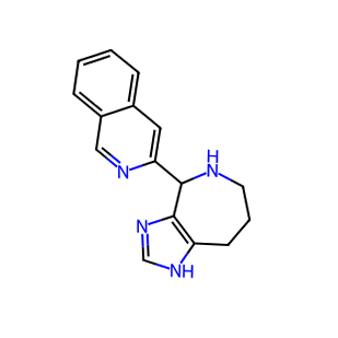 c1ccc2cc(C3NCCCc4[nH]cnc43)ncc2c1